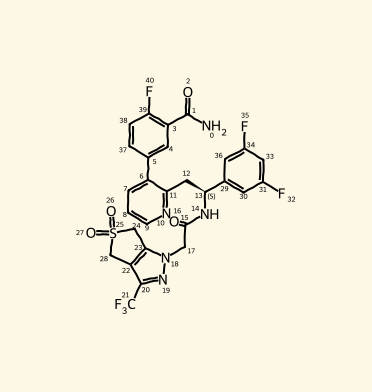 NC(=O)c1cc(-c2cccnc2C[C@H](NC(=O)Cn2nc(C(F)(F)F)c3c2CS(=O)(=O)C3)c2cc(F)cc(F)c2)ccc1F